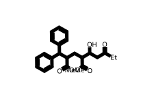 CCC(=O)CC(O)C(CC(C(=O)OC)C(c1ccccc1)c1ccccc1)C(=O)OC